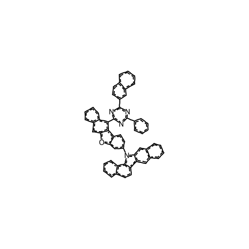 c1ccc(-c2nc(-c3ccc4ccccc4c3)nc(-c3c4ccccc4cc4oc5cc(-n6c7cc8ccccc8cc7c7ccc8ccccc8c76)ccc5c34)n2)cc1